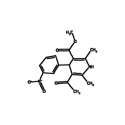 COC(=O)C1=C(C)NC(C)=C(C(C)=O)C1c1cccc([N+](=O)[O-])c1